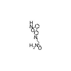 CNC(=O)c1ccccc1-c1ccc(N(C)CCCC(N)C=O)cc1